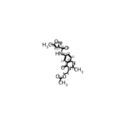 CC(=O)OCCn1c(C)nc2ccc(NC(=O)c3cc(C)on3)cc2c1=O